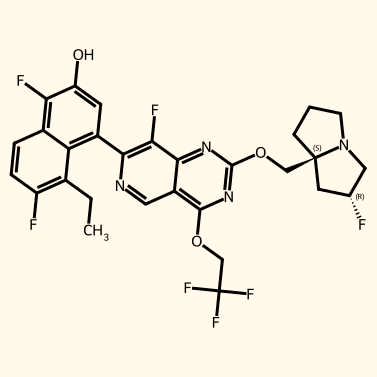 CCc1c(F)ccc2c(F)c(O)cc(-c3ncc4c(OCC(F)(F)F)nc(OC[C@@]56CCCN5C[C@H](F)C6)nc4c3F)c12